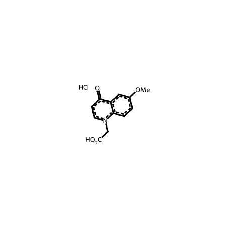 COc1ccc2c(c1)c(=O)ccn2CC(=O)O.Cl